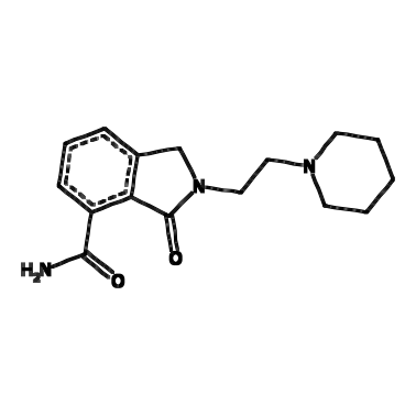 NC(=O)c1cccc2c1C(=O)N(CCN1CCCCC1)C2